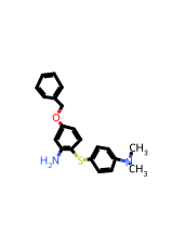 CN(C)c1ccc(Sc2ccc(OCc3ccccc3)cc2N)cc1